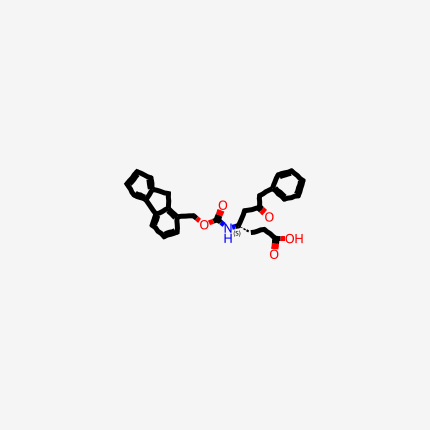 O=C(O)CC[C@@H](CC(=O)Cc1ccccc1)NC(=O)OCc1cccc2c1Cc1ccccc1-2